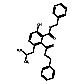 CC(N)Cc1ncc(O)c(C(=O)OCc2ccccc2)c1C(=O)OCc1ccccc1